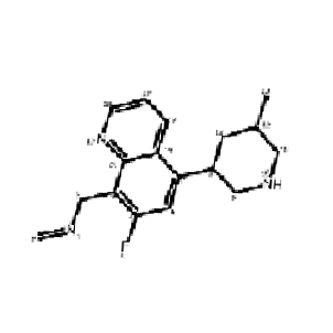 C=NCc1c(F)cc(C2CNC[C@H](C)C2)c2cccnc12